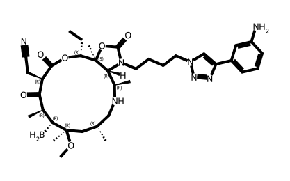 B[C@@H]1[C@@H](C)C(=O)[C@@H](CC#N)C(=O)O[C@H](CC)[C@@]2(C)OC(=O)N(CCCCn3cc(-c4cccc(N)c4)nn3)[C@@H]2[C@@H](C)NC[C@H](C)C[C@@]1(C)OC